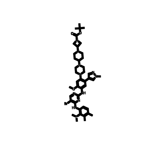 COc1cc(N2CCN(C3CCN(C4CN(C(=O)OC(C)(C)C)C4)CC3)CC2)c(-c2cnn(C)c2)cc1Nc1ncc(Br)c(Nc2ccc(C)c(C)c2P(C)C)n1